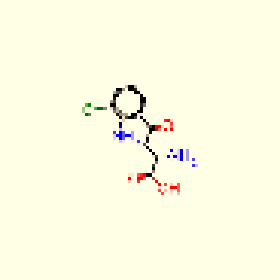 Nc1c(Cl)cccc1C(=O)C[C@H](N)C(=O)O